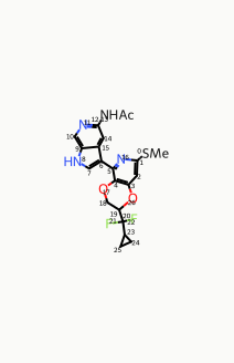 CSc1cc2c(c(-c3c[nH]c4cnc(NC(C)=O)cc34)n1)OCC(C(F)(F)C1CC1)O2